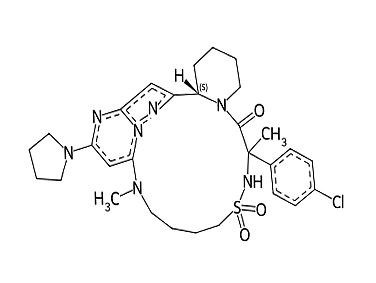 CN1CCCCS(=O)(=O)NC(C)(c2ccc(Cl)cc2)C(=O)N2CCCC[C@H]2c2cc3nc(N4CCCC4)cc1n3n2